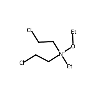 CCO[N+](CC)(CCCl)CCCl